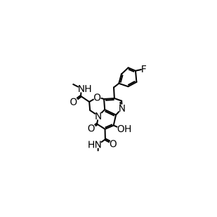 CNC(=O)c1c(O)c2ncc(Cc3ccc(F)cc3)c3c2n(c1=O)CC(C(=O)NC)O3